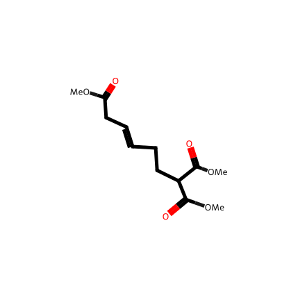 COC(=O)CC=CCCC(C(=O)OC)C(=O)OC